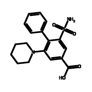 NS(=O)(=O)c1cc(C(=O)O)cc(N2CCCCC2)c1-c1ccccc1